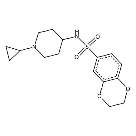 O=S(=O)(NC1CCN(C2CC2)CC1)c1ccc2c(c1)OCCO2